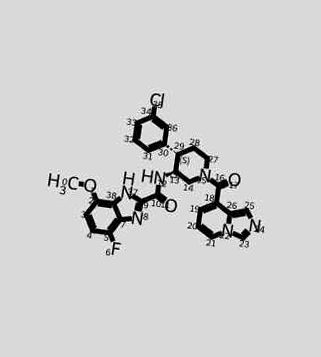 COc1ccc(F)c2nc(C(=O)N[C@@H]3CN(C(=O)c4cccn5cncc45)CC[C@H]3c3cccc(Cl)c3)[nH]c12